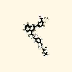 CC(C)(C)OC(=O)NCC1CCC(CNC(=O)c2cc(-c3cccc(C(=O)O)c3)nc3ccccc23)CC1